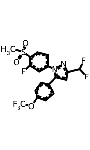 CS(=O)(=O)c1ccc(-n2nc(C(F)F)cc2-c2ccc(OC(F)(F)F)cc2)cc1F